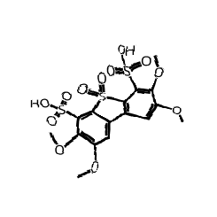 COc1cc2c(c(S(=O)(=O)O)c1OC)S(=O)(=O)c1c-2cc(OC)c(OC)c1S(=O)(=O)O